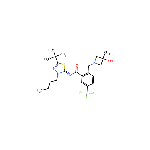 CCCCn1nc(C(C)(C)C)s/c1=N\C(=O)c1cc(C(F)(F)F)ccc1CN1CC(C)(O)C1